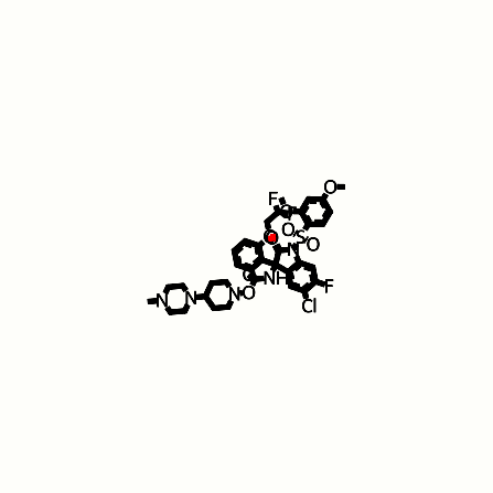 COc1ccc(S(=O)(=O)N2C(=O)C(NC(=O)ON3CCC(N4CCN(C)CC4)CC3)(c3ccccc3OCC(F)F)c3cc(Cl)c(F)cc32)c(OC)c1